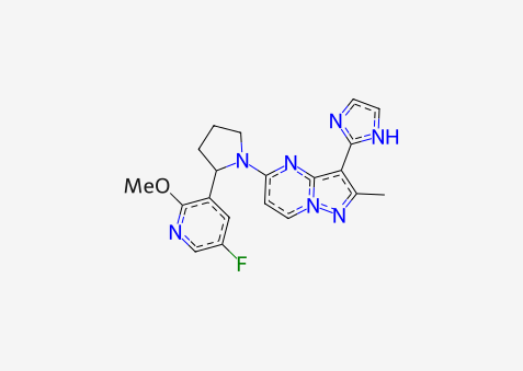 COc1ncc(F)cc1C1CCCN1c1ccn2nc(C)c(-c3ncc[nH]3)c2n1